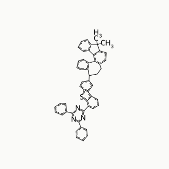 CC1(C)c2ccccc2-c2c1ccc1c2-c2ccccc2C(c2ccc3sc4c(-c5nc(-c6ccccc6)nc(-c6ccccc6)n5)cccc4c3c2)CC1